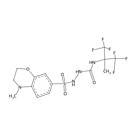 CN1CCOc2cc(S(=O)(=O)NNC(=O)NC(C)(C(F)(F)F)C(F)(F)F)ccc21